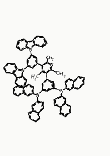 Cc1nc(C)c(-c2cc(-n3c4ccccc4c4ccccc43)cc(-n3c4ccccc4c4ccccc43)c2)c(C)c1-c1cc(N(c2ccc3ccccc3c2)c2ccc3ccccc3c2)cc(N(c2ccc3ccccc3c2)c2ccc3ccccc3c2)c1